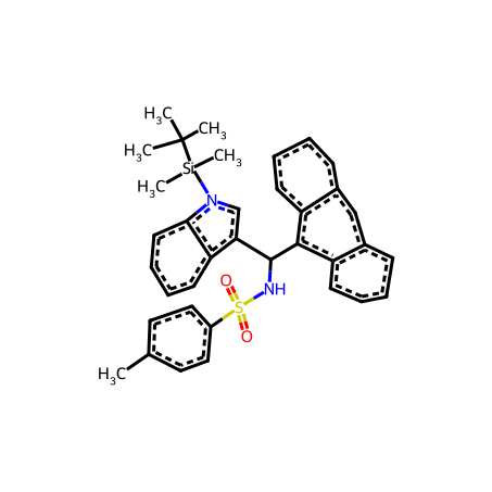 Cc1ccc(S(=O)(=O)NC(c2c3ccccc3cc3ccccc23)c2cn([Si](C)(C)C(C)(C)C)c3ccccc23)cc1